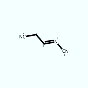 N#CCC=NC#N